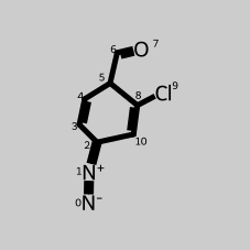 [N-]=[N+]=C1C=CC(C=O)C(Cl)=C1